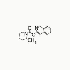 CC1CCCCN1C(=O)Oc1cc2ccccc2cn1